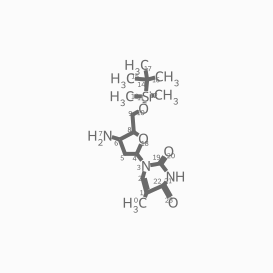 Cc1cn(C2CC(N)C(CO[Si](C)(C)C(C)(C)C)O2)c(=O)[nH]c1=O